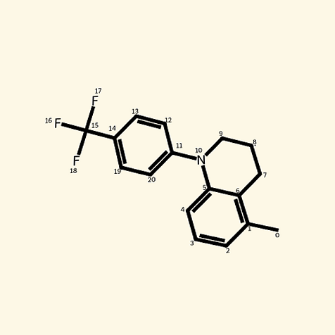 Cc1cccc2c1C[CH]CN2c1ccc(C(F)(F)F)cc1